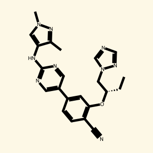 CC[C@@H](Cn1cncn1)Oc1cc(-c2cnc(Nc3cn(C)nc3C)nc2)ccc1C#N